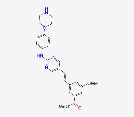 COC(=O)c1cc(C=Cc2cnc(Nc3ccc(N4CCNCC4)cc3)nc2)cc(OC)c1